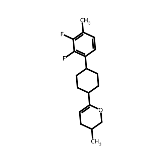 Cc1ccc(C2CCC(C3=CCC(C)CO3)CC2)c(F)c1F